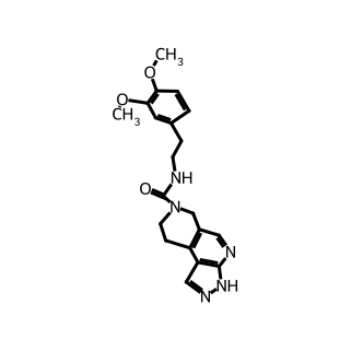 COc1ccc(CCNC(=O)N2CCc3c(cnc4[nH]ncc34)C2)cc1OC